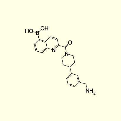 NCc1cccc(C2CCN(C(=O)c3ccc4c(B(O)O)cccc4n3)CC2)c1